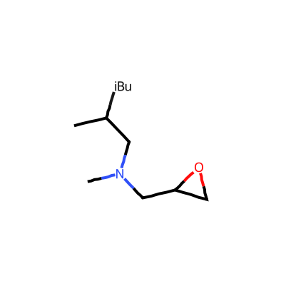 CCC(C)C(C)CN(C)CC1CO1